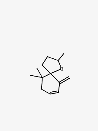 C=C1C=CCC(C)(C)C12CCC(C)O2